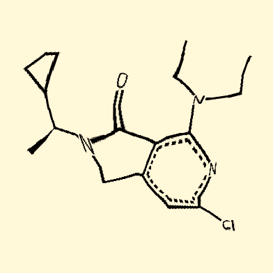 CCN(CC)c1nc(Cl)cc2c1C(=O)N([C@@H](C)C1CC1)C2